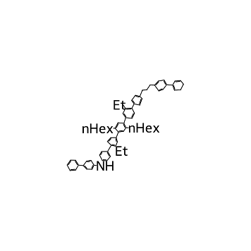 CCCCCCc1cc(-c2ccc(-c3ccc(Nc4ccc(-c5ccccc5)cc4)cc3)c(CC)c2)c(CCCCCC)cc1-c1ccc(-c2ccc(CCCc3ccc(C4=CCCC=C4)cc3)cc2)c(CC)c1